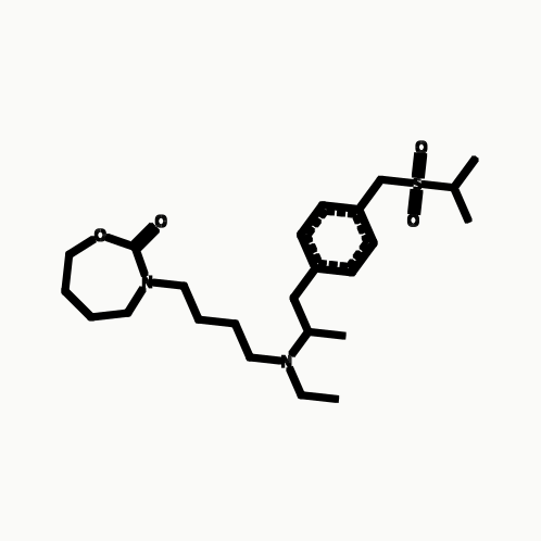 CCN(CCCCN1CCCCOC1=O)C(C)Cc1ccc(CS(=O)(=O)C(C)C)cc1